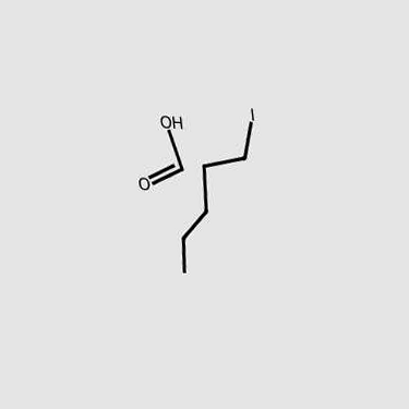 CCCCCI.O=CO